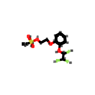 CS(=O)(=O)OCCOc1ccccc1OC(F)C(F)F